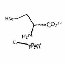 CCCCCCl.NC(C[SeH])C(=O)O